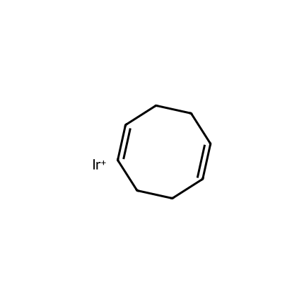 C1=CCCC=CCC1.[Ir+]